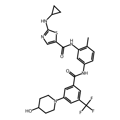 Cc1ccc(NC(=O)c2cc(N3CCC(O)CC3)cc(C(F)(F)F)c2)cc1NC(=O)c1cnc(NC2CC2)s1